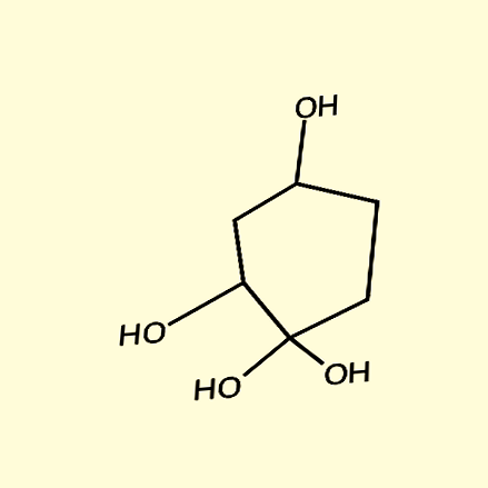 OC1CCC(O)(O)C(O)C1